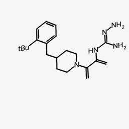 C=C(N/C(N)=N/N)C(=C)N1CCC(Cc2ccccc2C(C)(C)C)CC1